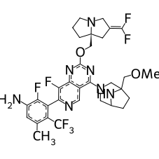 COCC12CCC(CN(c3nc(OC[C@@]45CCCN4CC(=C(F)F)C5)nc4c(F)c(-c5c(F)c(N)cc(C)c5C(F)(F)F)ncc34)C1)N2